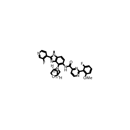 COc1cccc(F)c1-c1nccc(C(=O)Nc2ccc3c(nc(-c4ccncc4F)n3C)c2N2C[C@@H]3C[C@H]2CO3)n1